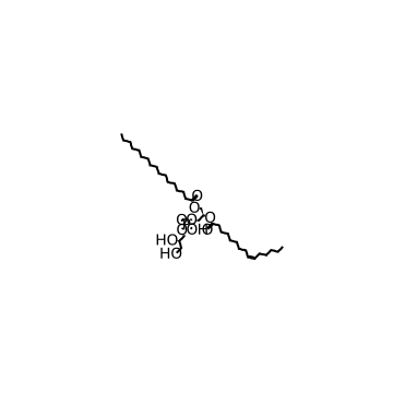 CCCCC/C=C\CCCCCCCC(=O)O[C@H](COC(=O)CCCCCCCCCCCCCCCC)COP(=O)(O)OC[C@@H](O)CO